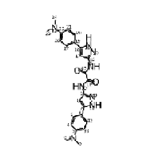 CN(C)c1ccc(-c2cc(NC(=O)C(=O)Nc3cc(-c4ccc(N(C)C)cc4)[nH]n3)n[nH]2)cc1